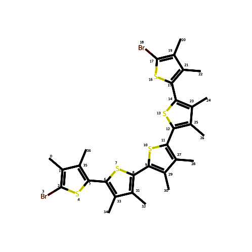 Cc1c(Br)sc(-c2sc(-c3sc(-c4sc(-c5sc(Br)c(C)c5C)c(C)c4C)c(C)c3C)c(C)c2C)c1C